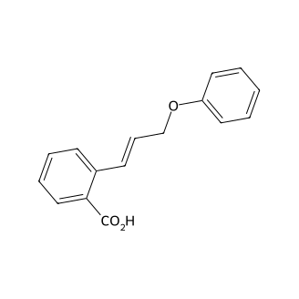 O=C(O)c1ccccc1C=CCOc1ccccc1